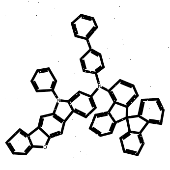 c1ccc(-c2ccc(N(c3ccc4c5cc6oc7ccccc7c6cc5n(-c5ccccc5)c4c3)c3cccc4c3-c3ccccc3C43c4ccccc4-c4ccccc43)cc2)cc1